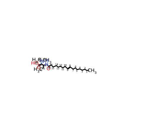 CCCCCCCCC=CCCCCCCCC(=O)NC(CC)C(C(=O)O)N(C)C